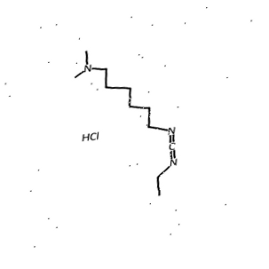 CCN=C=NCCCCCCN(C)C.Cl